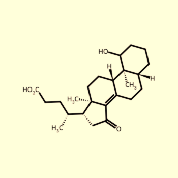 C[C@H](CCC(=O)O)[C@H]1CC(=O)C2=C3CC[C@H]4CCCC(O)[C@]4(C)[C@H]3CC[C@@]21C